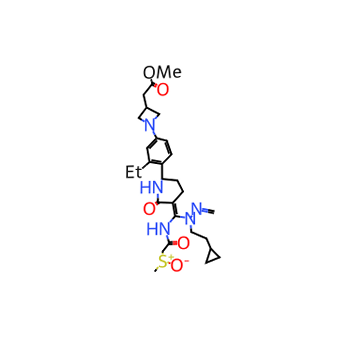 C=NN(CCC1CC1)/C(NC(=O)C[S+](C)[O-])=C1\CCC(c2ccc(N3CC(CC(=O)OC)C3)cc2CC)NC1=O